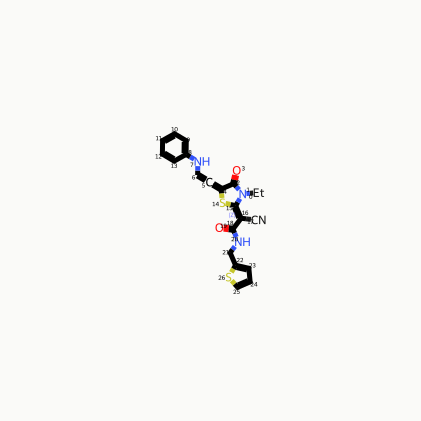 CCn1c(=O)c(=C=CNc2ccccc2)s/c1=C(/C#N)C(=O)NCc1cccs1